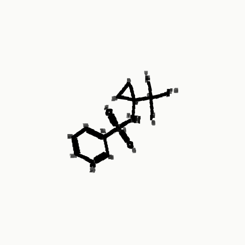 O=S(=O)(NC1(C(F)(F)F)CC1)c1cccnc1